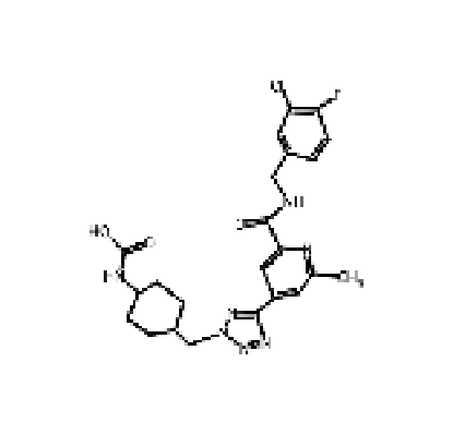 Cc1cc(-c2nnn(CC3CCC(NC(=O)O)CC3)n2)cc(C(=O)NCc2ccc(F)c(Cl)c2)n1